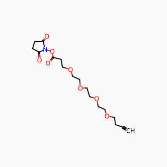 C#CCCOCCOCCOCCOCCC(=O)ON1C(=O)CCC1=O